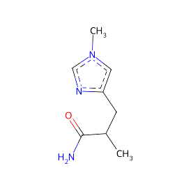 CC(Cc1cn(C)cn1)C(N)=O